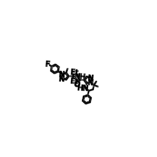 CCC(CC)(NC(=O)c1cnn2c1NC(c1ccccc1)CC2(C)C)c1cnn(-c2ccc(F)cc2)c1C